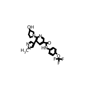 Cn1cc(-c2cc(C(=O)Nc3ccc(OC(F)(F)F)cc3)cnc2N2CCC(O)C2)cn1